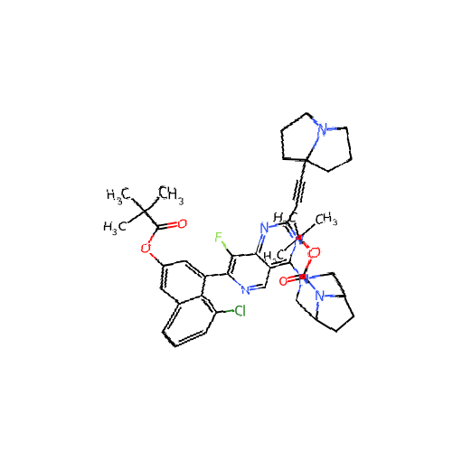 CC(C)(C)OC(=O)N1C2CCC1CN(c1nc(C#CC34CCCN3CCC4)nc3c(F)c(-c4cc(OC(=O)C(C)(C)C)cc5cccc(Cl)c45)ncc13)C2